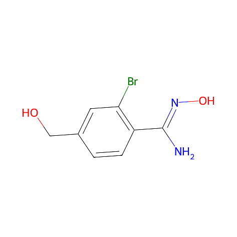 NC(=NO)c1ccc(CO)cc1Br